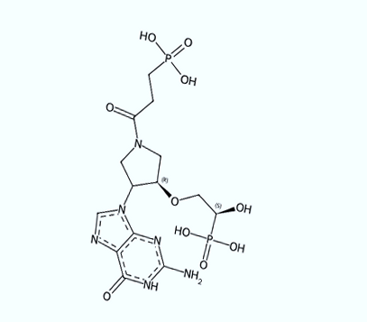 Nc1nc2c(ncn2C2CN(C(=O)CCP(=O)(O)O)C[C@H]2OC[C@@H](O)P(=O)(O)O)c(=O)[nH]1